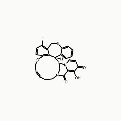 O=C1c2c(O)c(=O)ccn2N2CN1CC/C=C\COc1ccc(F)c3c1[C@@H]2c1ccccc1SC3